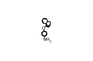 Nc1ccc(OC2=CC3CC4C=CC=CC24C3)cc1